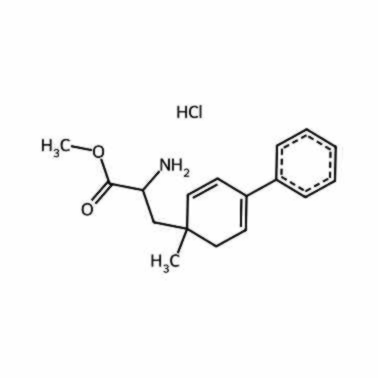 COC(=O)C(N)CC1(C)C=CC(c2ccccc2)=CC1.Cl